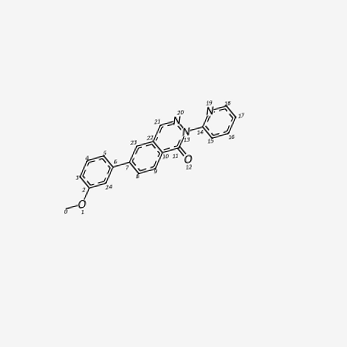 COc1cccc(-c2ccc3c(=O)n(-c4ccccn4)ncc3c2)c1